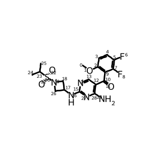 COc1ccc(F)c(F)c1C(=O)c1cnc(NC2CN(S(=O)(=O)C(C)C)C2)nc1N